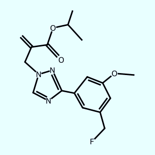 C=C(Cn1cnc(-c2cc(CF)cc(OC)c2)n1)C(=O)OC(C)C